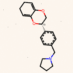 C1=C2OC[C@H](c3ccc(CN4CCCC4)cc3)OC2=CCC1